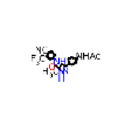 CC(=O)Nc1ccc(C2=NNC(C)(C(=O)Nc3ccc(C#N)c(C(F)(F)F)c3)C2)cc1